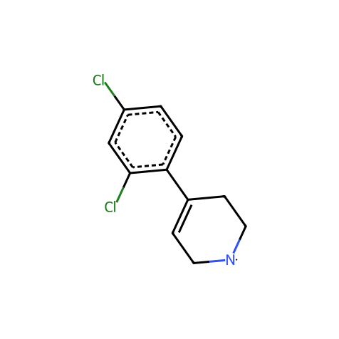 Clc1ccc(C2=CC[N]CC2)c(Cl)c1